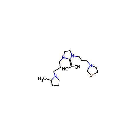 CC1CCCN1CCCN1CCN(CCCN2CCSC2)C1=C(C#N)C#N